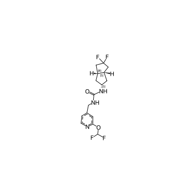 O=C(NCc1ccnc(OC(F)F)c1)N[C@@H]1C[C@@H]2CC(F)(F)C[C@@H]2C1